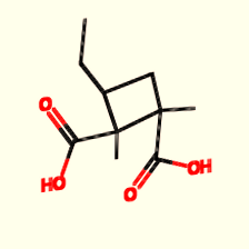 CCC1CC(C)(C(=O)O)C1(C)C(=O)O